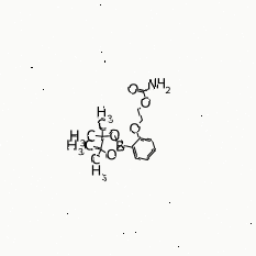 CC1(C)OB(c2ccccc2OCCOC(N)=O)OC1(C)C